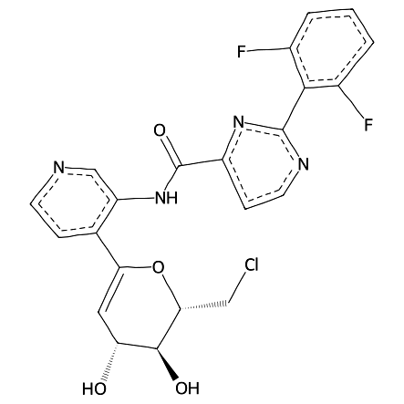 O=C(Nc1cnccc1C1=C[C@@H](O)[C@H](O)[C@@H](CCl)O1)c1ccnc(-c2c(F)cccc2F)n1